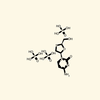 Nc1ccn([C@H]2CS[C@@H](CO)O2)c(=O)n1.O=P(O)(O)O.O=P(O)(O)O.O=P(O)(O)O